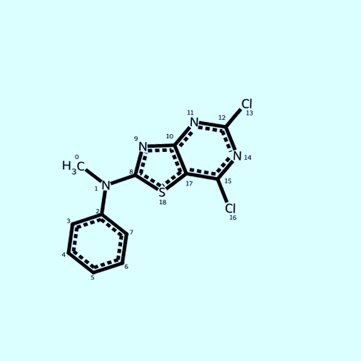 CN(c1ccccc1)c1nc2nc(Cl)nc(Cl)c2s1